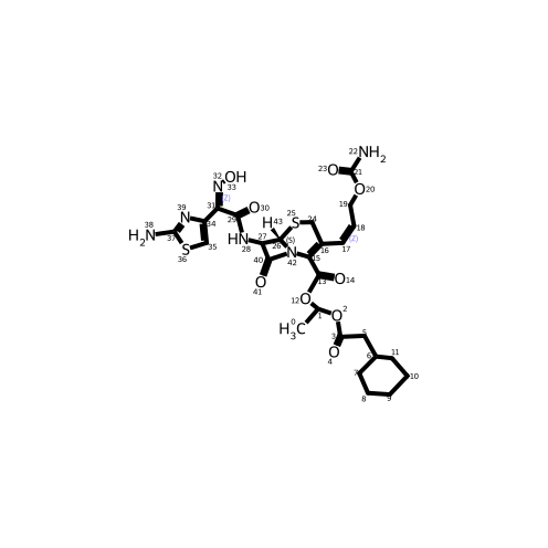 CC(OC(=O)CC1CCCCC1)OC(=O)C1=C(/C=C\COC(N)=O)CS[C@H]2C(NC(=O)/C(=N\O)c3csc(N)n3)C(=O)N12